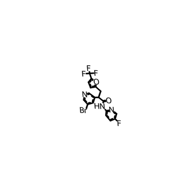 O=C(Nc1ccc(F)cn1)C(Cc1ccc(C(F)(F)F)o1)c1cncc(Br)c1